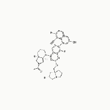 C#Cc1c(F)ccc2cc(O)cc(-c3ncc4c(N5CCC[C@@H]6CN(C(C)=O)C[C@@H]65)nc(OC[C@@]56CCCN5C[C@H](F)C6)nc4c3F)c12